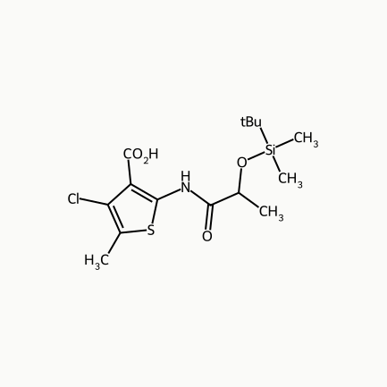 Cc1sc(NC(=O)C(C)O[Si](C)(C)C(C)(C)C)c(C(=O)O)c1Cl